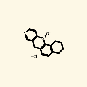 Cl.[O-][S+]1c2ccncc2Cc2ccc3c(c21)CCCC3